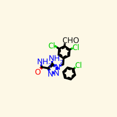 Clc1ccccc1.NC(=O)c1nnn(Cc2cc(Cl)c(C=O)c(Cl)c2)c1N